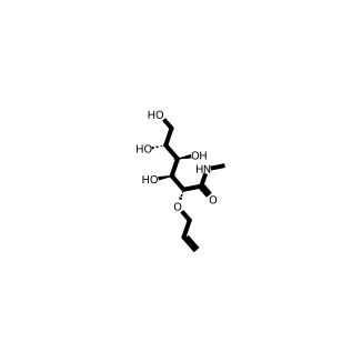 C=CCO[C@@H](C(=O)NC)[C@@H](O)[C@H](O)[C@H](O)CO